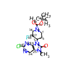 Cn1c(=O)n(C2CCN(C(=O)OC(C)(C)C)C[C@H]2F)c2nc(Cl)ncc21